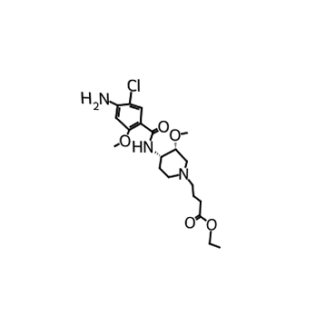 CCOC(=O)CCCN1CC[C@H](NC(=O)c2cc(Cl)c(N)cc2OC)[C@H](OC)C1